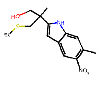 CCSCC(C)(CO)c1cc2cc([N+](=O)[O-])c(C)cc2[nH]1